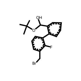 CC(C)(C)OC(O)c1ccccc1-c1cccc(CBr)c1F